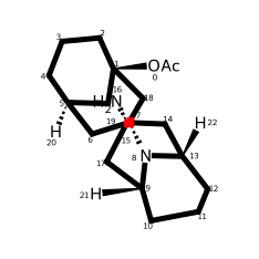 CC(=O)O[C@@]12CCC[C@H](C[C@@H](N3[C@@H]4CCC[C@H]3C[C@@H](N)C4)C1)C2